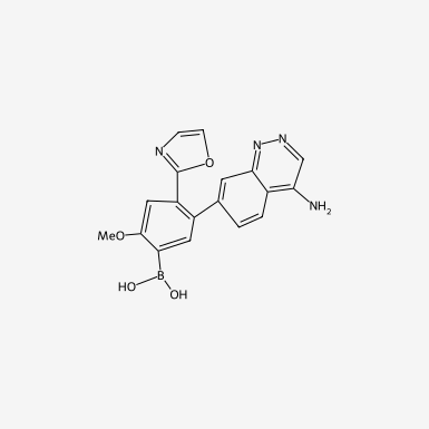 COc1cc(-c2ncco2)c(-c2ccc3c(N)cnnc3c2)cc1B(O)O